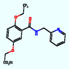 CCOC(=O)COc1ccc(OCC(F)(F)F)c(C(=O)NCc2ccccn2)c1